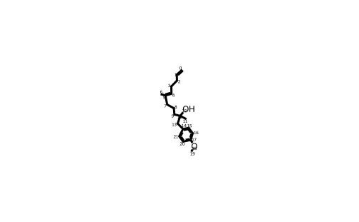 C=CCCC=C(C)CCCC(C)(O)Cc1ccc(OC)cc1